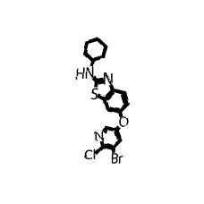 Clc1ncc(Oc2ccc3nc(NC4CCCCC4)sc3c2)cc1Br